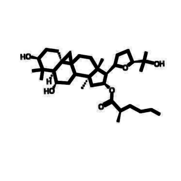 CCCC[C@@H](C)C(=O)O[C@H]1C[C@@]2(C)C3C[C@H](O)[C@H]4C(C)(C)[C@@H](O)CC[C@@]45CC35CC[C@]2(C)[C@H]1C1CC[C@@H](C(C)(C)O)O1